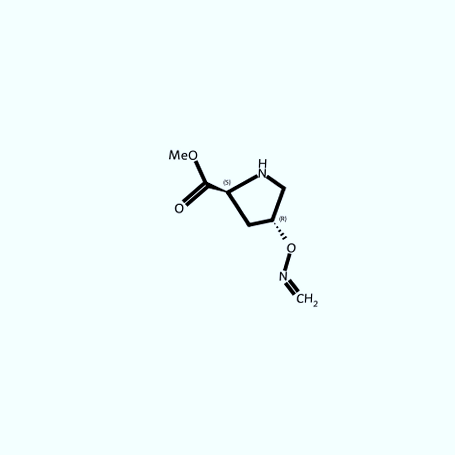 C=NO[C@H]1CN[C@H](C(=O)OC)C1